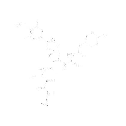 CCC[C@H](NC(=O)[C@@H]1C[C@]2(CC(c3cc(C)c(OC)c(C)c3)=NO2)CN1C(=O)[C@@H](NC(=O)CC1CCC(O)CC1)C(C)(C)C)C(=O)C(=O)NC1CC1